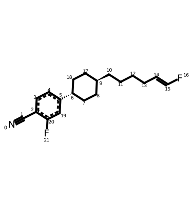 N#Cc1ccc([C@H]2CC[C@H](CCCC/C=C/F)CC2)cc1F